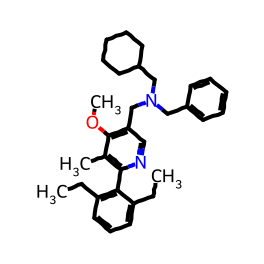 CCc1cccc(CC)c1-c1ncc(CN(Cc2ccccc2)CC2CCCCC2)c(OC)c1C